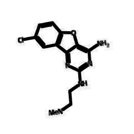 CNCCNc1nc(N)c2oc3ccc(Cl)cc3c2n1